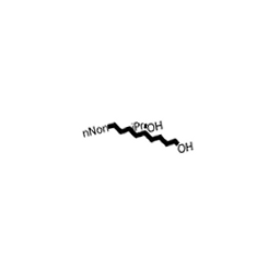 CC(C)O.CCCCCCCCCCCCCCCCCCO